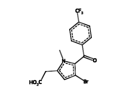 Cn1c(CC(=O)O)cc(Br)c1C(=O)c1ccc(C(F)(F)F)cc1